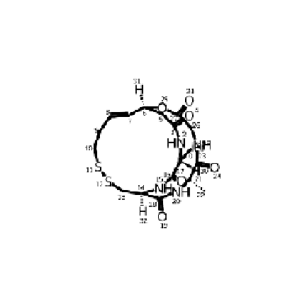 CC(C)[C@H]1NC(=O)C[C@H]2/C=C/CCSSC[C@@H](NC1=O)C(=O)N[C@@H](C)C(=O)NCC(=O)O2